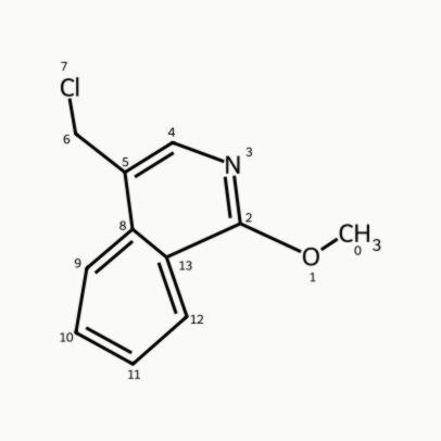 COc1ncc(CCl)c2ccccc12